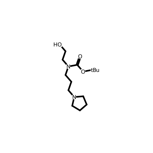 CC(C)(C)OC(=O)N(CCO)CCCN1CCCC1